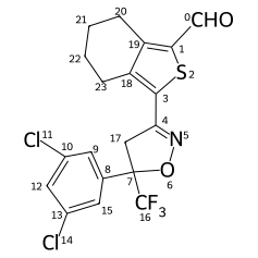 O=Cc1sc(C2=NOC(c3cc(Cl)cc(Cl)c3)(C(F)(F)F)C2)c2c1CCCC2